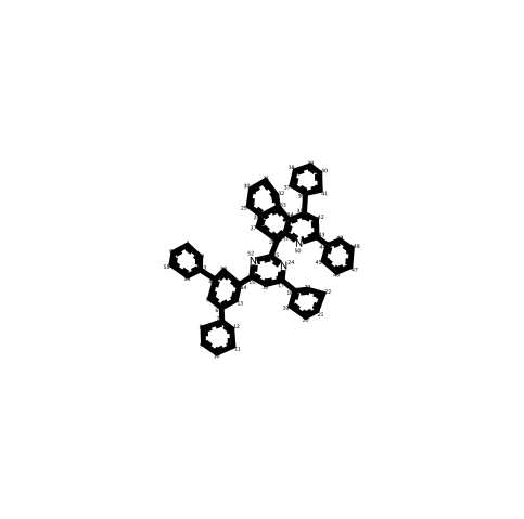 c1ccc(-c2cc(-c3ccccc3)cc(-c3cc(-c4ccccc4)nc(-c4cc5ccccc5c5c(-c6ccccc6)cc(-c6ccccc6)nc45)n3)c2)cc1